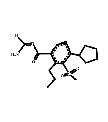 CCCc1c(C(=O)N=C(N)N)ccc(C2CCCC2)c1S(C)(=O)=O